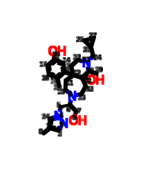 Cc1cnn(C[C@H](CO)N2CCC3(c4cc(O)ccc4C)CCN(CC4CC4)C(C)C3(O)CC2)c1